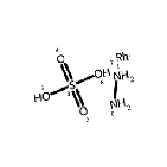 NN.O=S(=O)(O)O.[Rh]